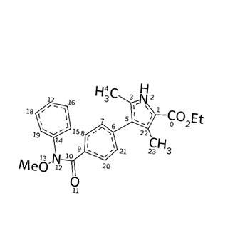 CCOC(=O)c1[nH]c(C)c(-c2ccc(C(=O)N(OC)c3ccccc3)cc2)c1C